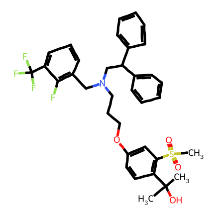 CC(C)(O)c1ccc(OCCCN(Cc2cccc(C(F)(F)F)c2F)CC(c2ccccc2)c2ccccc2)cc1S(C)(=O)=O